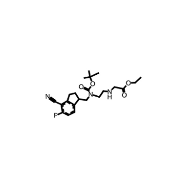 CCOC(=O)CNCCN(CC1CCc2c1ccc(F)c2C#N)C(=O)OC(C)(C)C